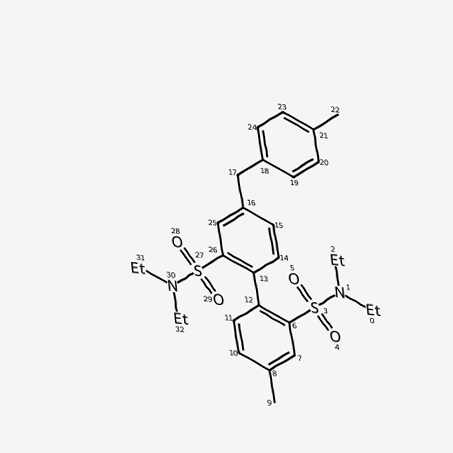 CCN(CC)S(=O)(=O)c1cc(C)ccc1-c1ccc(Cc2ccc(C)cc2)cc1S(=O)(=O)N(CC)CC